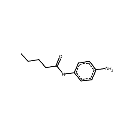 CCCCC(=O)[N]c1ccc(N)cc1